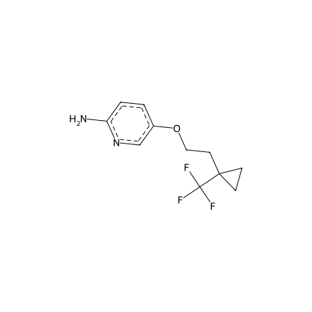 Nc1ccc(OCCC2(C(F)(F)F)CC2)cn1